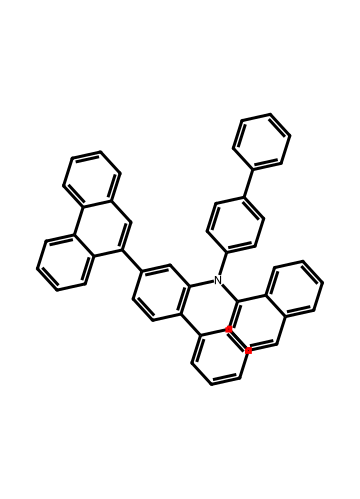 c1ccc(-c2ccc(N(c3cc(-c4cc5ccccc5c5ccccc45)ccc3-c3ccccc3)c3cccc4ccccc34)cc2)cc1